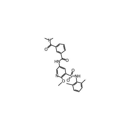 COc1ncc(NC(=O)c2cccc(C(=O)N(C)C)c2)cc1S(=O)(=O)Nc1c(C)cccc1C